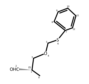 C[C@H](C=O)COCSc1ccccc1